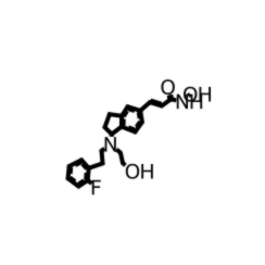 O=C(C=Cc1ccc2c(c1)CCC2N(CCO)CCc1ccccc1F)NO